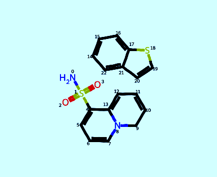 NS(=O)(=O)C1=CC=CN2CC=CC=C12.c1ccc2sccc2c1